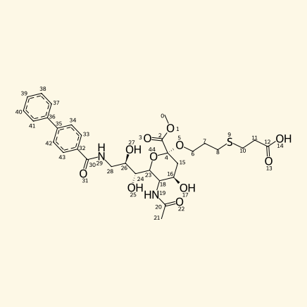 COC(=O)[C@@]1(OCCCSCCC(=O)O)C[C@@H](O)C(NC(C)=O)C([C@H](O)[C@H](O)CNC(=O)c2ccc(-c3ccccc3)cc2)O1